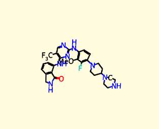 COc1c(Nc2ncc(C(F)(F)F)c(Nc3cccc4c3C(=O)NC4)n2)ccc(N2CCC(N3CCNCC3)CC2)c1F